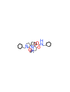 CC(C)CC(OC(=O)NCc1ccccc1)C(=O)NC1(C#N)CCN(Cc2ccccc2)C1=O